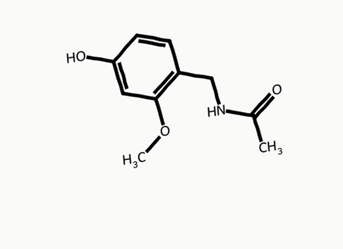 COc1cc(O)ccc1CNC(C)=O